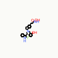 O=C(/C=C/c1ccc2c(c1)CCC2N(CCc1c[nH]c2ccccc12)Cc1cc(F)ccc1O)NO